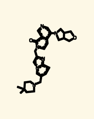 CC1(C)CCN(Cc2ccc3nc(Cn4ccc5c(N6CC7COCC7C6)cncc5c4=O)cn3c2)CC1